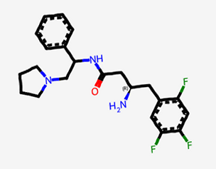 N[C@@H](CC(=O)NC(CN1CCCC1)c1ccccc1)Cc1cc(F)c(F)cc1F